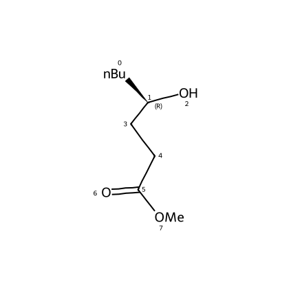 CCCC[C@@H](O)CCC(=O)OC